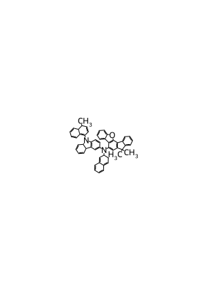 CC1C=CC(N2c3ccc(N(c4cc5c(c6oc7ccccc7c46)-c4ccccc4C5(C)C)C4C=c5ccccc5=CC4)cc3C3C=CC=CC32)=C2C=CC=CC21